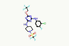 O=S(=O)(N1CCC(Nc2nc(Nc3ccc(F)c(Cl)c3)nc(OCC(F)(F)F)n2)CC1)C(F)(F)F